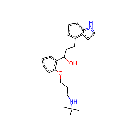 CC(C)(C)NCCCOc1ccccc1C(O)CCc1cccc2[nH]ccc12